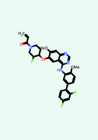 C=CC(=O)N1CCC(Oc2cc3c(Nc4cc(-c5ccc(F)cc5F)ccc4OC)ncnc3cc2OC)C(F)C1